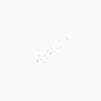 Nc1ncc(-c2cn(C3CC(N4CCC(F)(F)CC4)C4CC3C4)c(C(O)C3CC3)n2)cc1C(F)(F)F